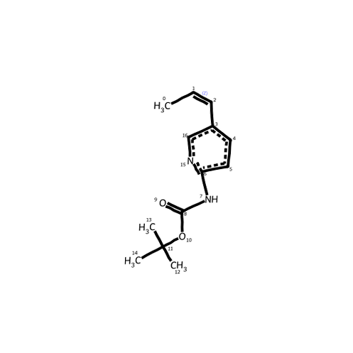 C/C=C\c1ccc(NC(=O)OC(C)(C)C)nc1